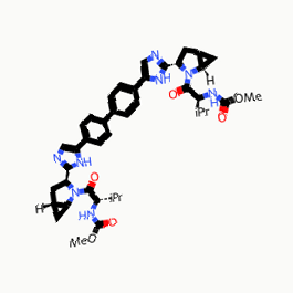 COC(=O)N[C@H](C(=O)N1C2C[C@@H]2C[C@H]1c1ncc(-c2ccc(-c3ccc(-c4cnc([C@@H]5CC6C[C@H]6N5C(=O)[C@@H](NC(=O)OC)C(C)C)[nH]4)cc3)cc2)[nH]1)C(C)C